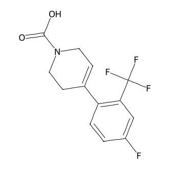 O=C(O)N1CC=C(c2ccc(F)cc2C(F)(F)F)CC1